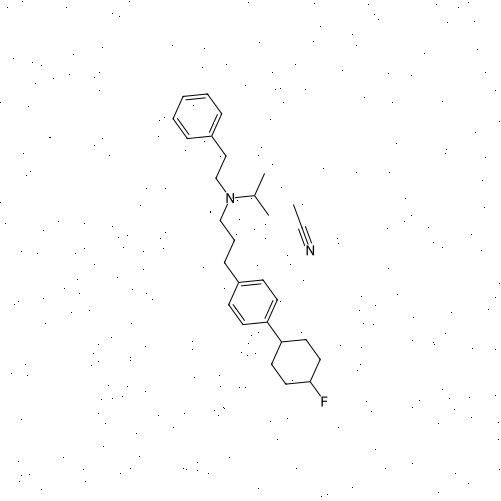 CC#N.CC(C)N(CCCc1ccc(C2CCC(F)CC2)cc1)CCc1ccccc1